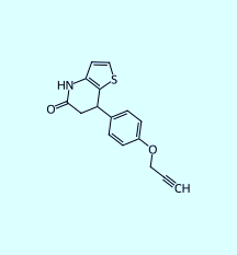 C#CCOc1ccc(C2CC(=O)Nc3ccsc32)cc1